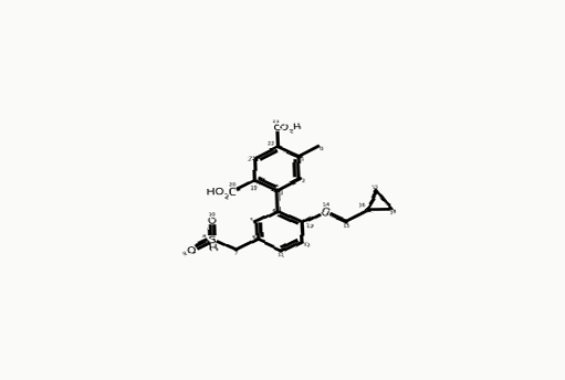 Cc1cc(-c2cc(C[SH](=O)=O)ccc2OCC2CC2)c(C(=O)O)cc1C(=O)O